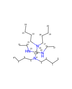 CCCCN(CCCC)[Si](NCC)(NCC)N(CCCC)CCCC